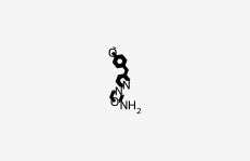 COc1ccc(Cc2ccc(N3CCOC(N)C3)nc2)cc1